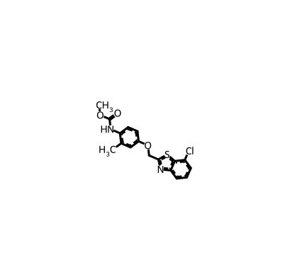 COC(=O)Nc1ccc(OCc2nc3cccc(Cl)c3s2)cc1C